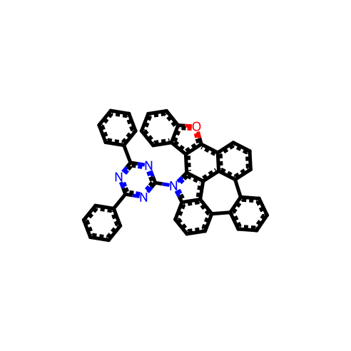 c1ccc(-c2nc(-c3ccccc3)nc(-n3c4cccc5c4c4c6c(cccc6c6oc7ccccc7c6c43)-c3ccccc3-5)n2)cc1